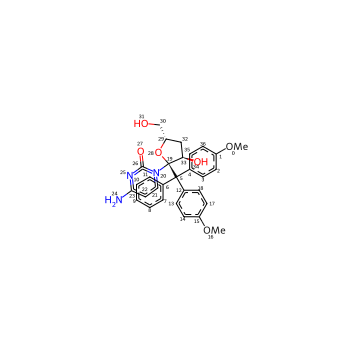 COc1ccc(C(c2ccccc2)(c2ccc(OC)cc2)[C@@]2(n3ccc(N)nc3=O)O[C@H](CO)C[C@H]2O)cc1